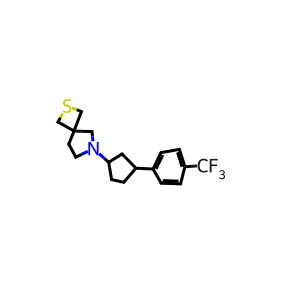 FC(F)(F)c1ccc(C2CCC(N3CCC4(CSC4)C3)C2)cc1